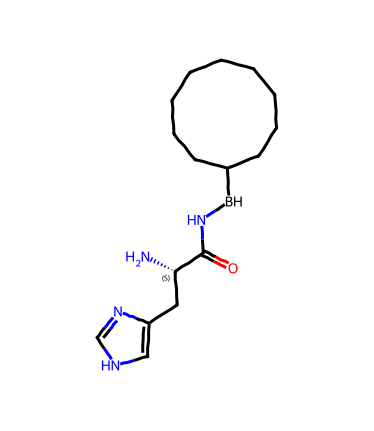 N[C@@H](Cc1c[nH]cn1)C(=O)NBC1CCCCCCCCC1